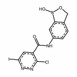 O=C(Nc1ccc2c(c1)B(O)OC2)c1cc(I)nnc1Cl